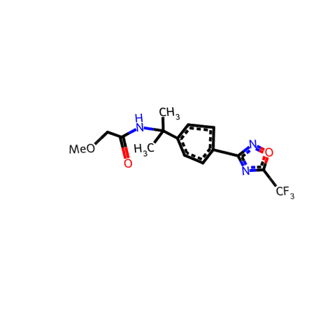 COCC(=O)NC(C)(C)c1ccc(-c2noc(C(F)(F)F)n2)cc1